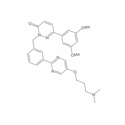 COc1cc(OC)cc(-c2ccc(=O)n(Cc3cccc(-c4ncc(OCCCN(C)C)cn4)c3)n2)c1